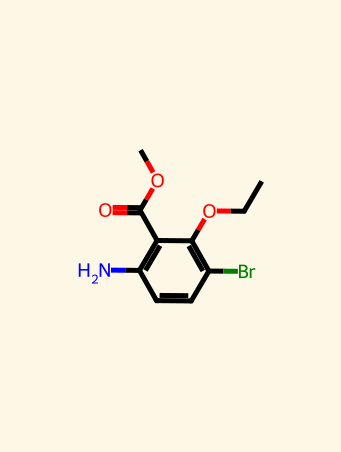 CCOc1c(Br)ccc(N)c1C(=O)OC